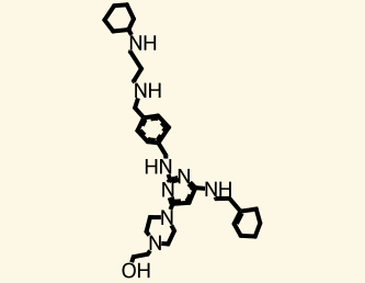 OCCN1CCN(c2cc(NCCC3=CCCCC3)nc(NCc3ccc(CNCCCNC4CCCCC4)cc3)n2)CC1